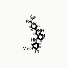 COc1cc(Nc2ccnc3[nH]c(C4=CCN(C(=O)N(C)C)CC4)cc23)ccc1Cl